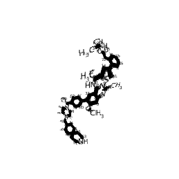 COc1cc2nc(C)nc(N[C@H](C)c3cc(-c4ccccc4CC(=O)OC(C)(C)C)cs3)c2cc1C1CCC(C(=O)N2CCN(CC3CCC4(CCNCC4)CC3)CC2)CC1